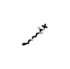 C#CCCOCCCNC(=O)OC(C)(C)C